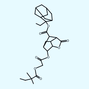 CCC(C)(C)C(=O)OCC(=O)OC1C2CC3C1OC(=O)C3C2C(=O)OC1(CC)C2CC3CC(C2)CC1C3